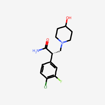 NC(=O)[C@H](CN1CCC(O)CC1)c1ccc(Cl)c(F)c1